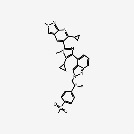 Cn1cc2cc(-c3nc(-c4cccc5nn(C[C@@H](F)c6ccc(S(C)(=O)=O)cc6)cc45)c(C4CC4)n3C)c(C3CC3)nc2n1